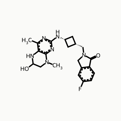 Cc1nc(N[C@H]2C[C@@H](CN3Cc4cc(F)ccc4C3=O)C2)nc2c1NC(O)CN2C